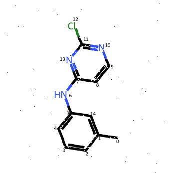 Cc1cccc(Nc2ccnc(Cl)n2)c1